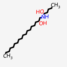 CCCCCCCCCCCCCCCCC(O)CNC(O)CCCC